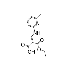 CCOC(=O)C(=CNc1cccc(C)n1)C(=O)O